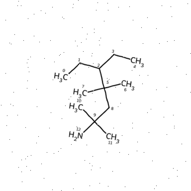 CCC(CC)C(C)(C)CC(C)(C)N